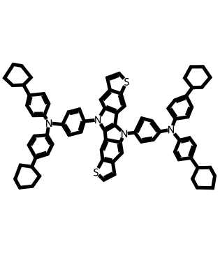 c1cc2cc3c(cc2s1)c1c(c2cc4sccc4cc2n1-c1ccc(N(c2ccc(C4CCCCC4)cc2)c2ccc(C4CCCCC4)cc2)cc1)n3-c1ccc(N(c2ccc(C3CCCCC3)cc2)c2ccc(C3CCCCC3)cc2)cc1